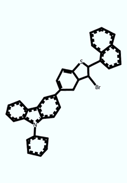 BrC1C2CC(c3ccc4c(c3)c3ccccc3n4-c3ccccc3)=CC=C2SC1c1cccc2ccccc12